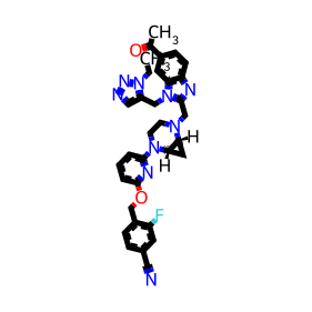 CCn1nncc1Cn1c(CN2CCN(c3cccc(OCc4ccc(C#N)cc4F)n3)[C@H]3C[C@H]32)nc2ccc(C(C)=O)cc21